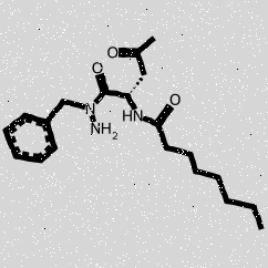 CCCCCCCC(=O)N[C@@H](CC(C)=O)C(=O)N(N)Cc1ccccc1